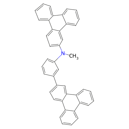 CN(c1cccc(-c2ccc3c4ccccc4c4ccccc4c3c2)c1)c1ccc2c3ccccc3c3ccccc3c2c1